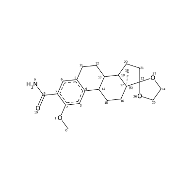 COc1cc2c(cc1C(N)=O)CCC1C2CC[C@@]2(C)C1CCC21OCCO1